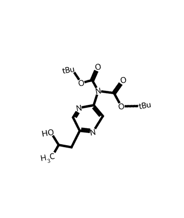 CC(O)Cc1cnc(N(C(=O)OC(C)(C)C)C(=O)OC(C)(C)C)cn1